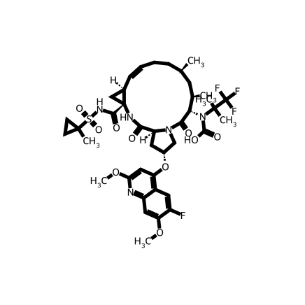 COc1cc(O[C@@H]2C[C@H]3C(=O)N[C@]4(C(=O)NS(=O)(=O)C5(C)CC5)C[C@H]4/C=C\CC[C@@H](C)C[C@@H](C)[C@H](N(C(=O)O)C(C)(C)C(F)(F)F)C(=O)N3C2)c2cc(F)c(OC)cc2n1